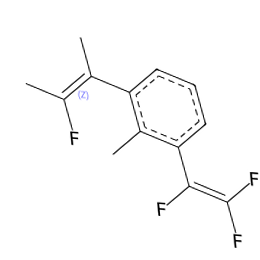 C/C(F)=C(\C)c1cccc(C(F)=C(F)F)c1C